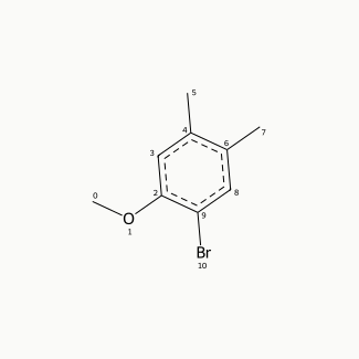 COc1cc(C)c(C)cc1Br